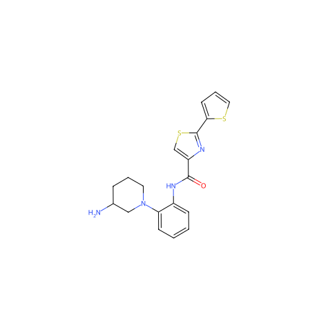 NC1CCCN(c2ccccc2NC(=O)c2csc(-c3cccs3)n2)C1